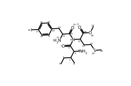 CCC(C)C(N)C(=O)N(C(=O)C(N)Cc1ccc(I)cc1)C(CCSC)C(=O)OC